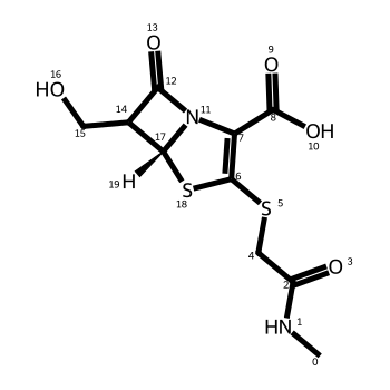 CNC(=O)CSC1=C(C(=O)O)N2C(=O)C(CO)[C@H]2S1